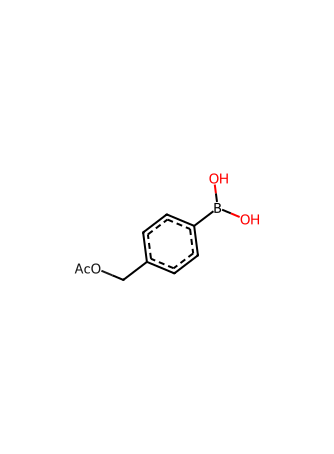 CC(=O)OCc1ccc(B(O)O)cc1